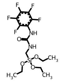 CCO[Si](CNC(=O)Nc1c(F)c(F)c(F)c(F)c1F)(OCC)OCC